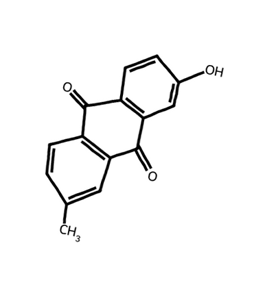 Cc1ccc2c(c1)C(=O)c1cc(O)ccc1C2=O